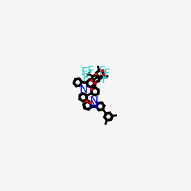 Cc1cc(C)cc(-c2ccc3c(c2)c2ccccc2n3-c2ccc(-c3cc(C(F)(F)F)cc(C(F)(F)F)c3)cc2-c2c(C#N)cccc2-n2c3ccccc3c3cc(-c4cc(C)cc(C)c4)ccc32)c1